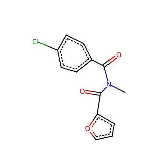 CN(C(=O)c1ccc(Cl)cc1)C(=O)c1ccco1